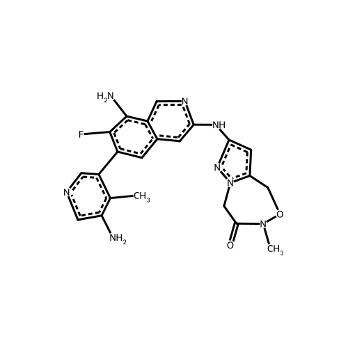 Cc1c(N)cncc1-c1cc2cc(Nc3cc4n(n3)CC(=O)N(C)OC4)ncc2c(N)c1F